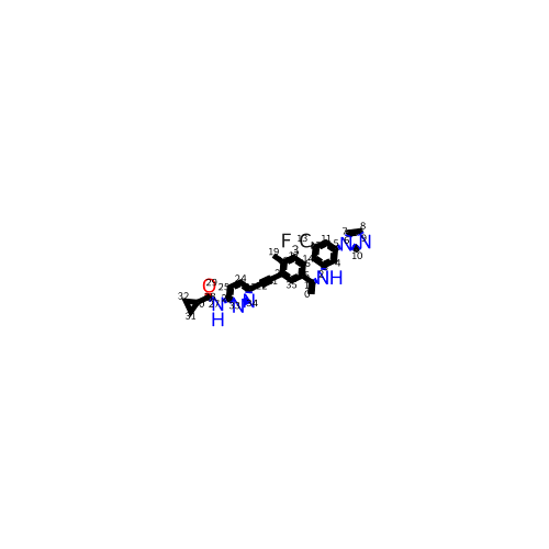 C=C(Nc1cc(-n2ccnc2)cc(C(F)(F)F)c1)c1ccc(C)c(C#Cc2ccc(NC(=O)C3CC3)nn2)c1